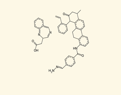 C=Cc1ccccc1C1C(=O)CC(C)c2ccc3c(c21)CCc1c(NC(=O)c2ccc(C=NN)cc2)cccc1-3.O=C(O)CC1C=NC=c2ccccc2=N1